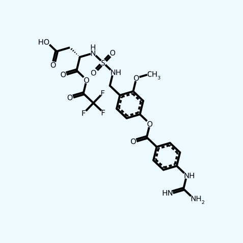 COc1cc(OC(=O)c2ccc(NC(=N)N)cc2)ccc1CNS(=O)(=O)N[C@@H](CC(=O)O)C(=O)OC(=O)C(F)(F)F